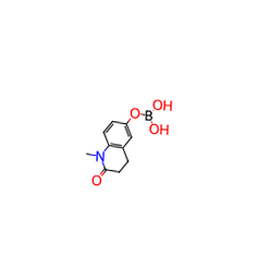 CN1C(=O)CCc2cc(OB(O)O)ccc21